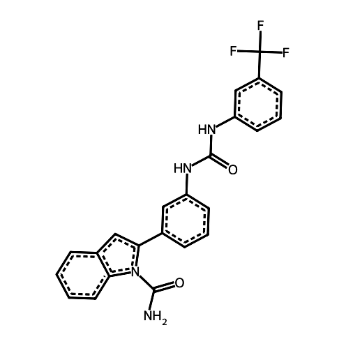 NC(=O)n1c(-c2cccc(NC(=O)Nc3cccc(C(F)(F)F)c3)c2)cc2ccccc21